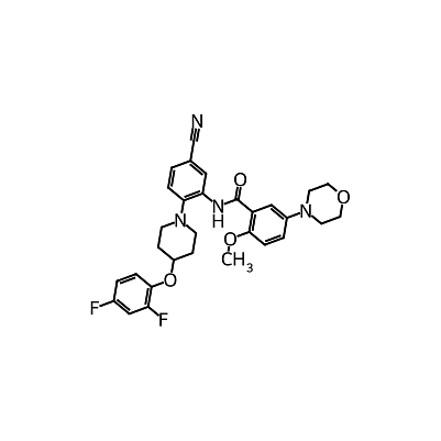 COc1ccc(N2CCOCC2)cc1C(=O)Nc1cc(C#N)ccc1N1CCC(Oc2ccc(F)cc2F)CC1